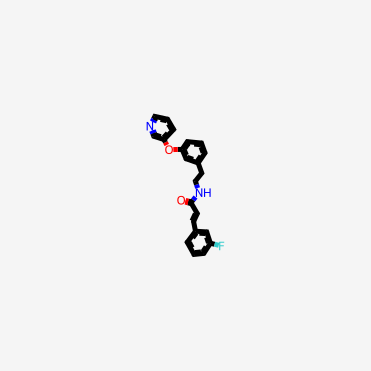 O=C(C=Cc1cccc(F)c1)NCCc1cccc(Oc2cccnc2)c1